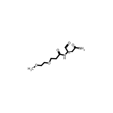 COCCOCCC(=O)N[C@@H]([C]=O)CC(N)=O